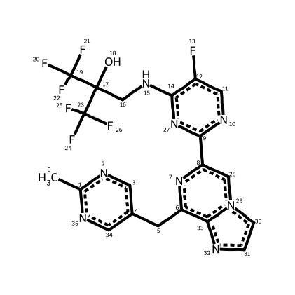 Cc1ncc(Cc2nc(-c3ncc(F)c(NCC(O)(C(F)(F)F)C(F)(F)F)n3)cn3ccnc23)cn1